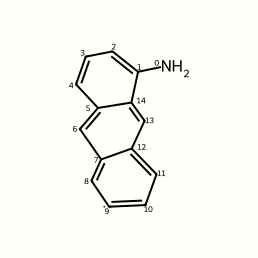 Nc1cccc2cc3c[c]ccc3cc12